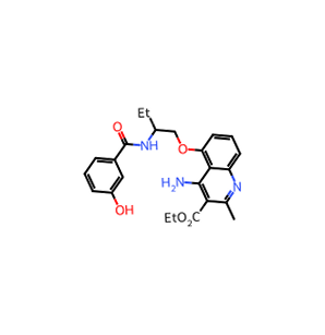 CCOC(=O)c1c(C)nc2cccc(OCC(CC)NC(=O)c3cccc(O)c3)c2c1N